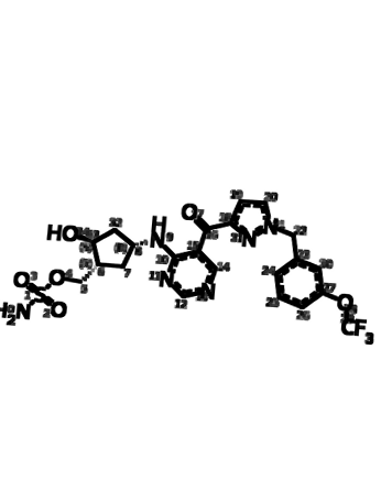 NS(=O)(=O)OC[C@H]1C[C@@H](Nc2ncncc2C(=O)c2ccn(Cc3cccc(OC(F)(F)F)c3)n2)C[C@@H]1O